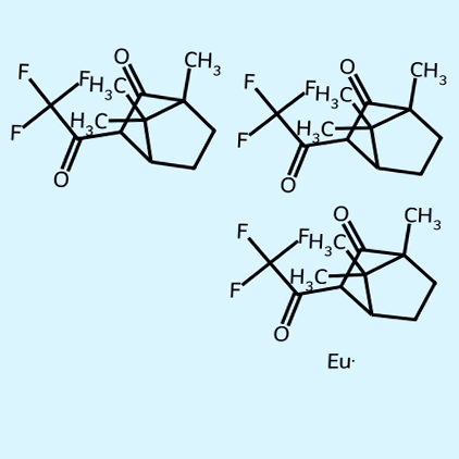 CC12CCC(C(C(=O)C(F)(F)F)C1=O)C2(C)C.CC12CCC(C(C(=O)C(F)(F)F)C1=O)C2(C)C.CC12CCC(C(C(=O)C(F)(F)F)C1=O)C2(C)C.[Eu]